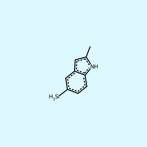 Cc1cc2cc([SiH3])ccc2[nH]1